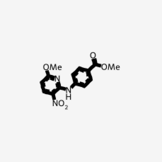 COC(=O)c1ccc(Nc2nc(OC)ccc2[N+](=O)[O-])cc1